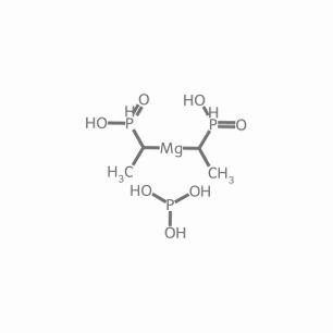 C[CH]([Mg][CH](C)[PH](=O)O)[PH](=O)O.OP(O)O